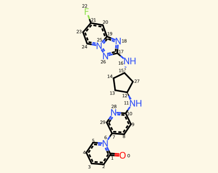 O=c1ccccn1-c1ccc(N[C@H]2CC[C@H](Nc3nc4cc(F)ccn4n3)C2)nc1